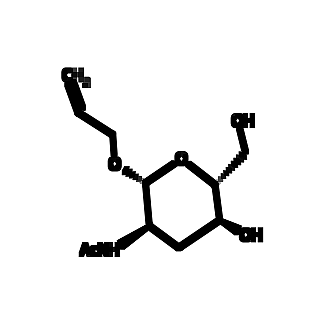 C=CCO[C@@H]1O[C@H](CO)[C@@H](O)C[C@H]1NC(C)=O